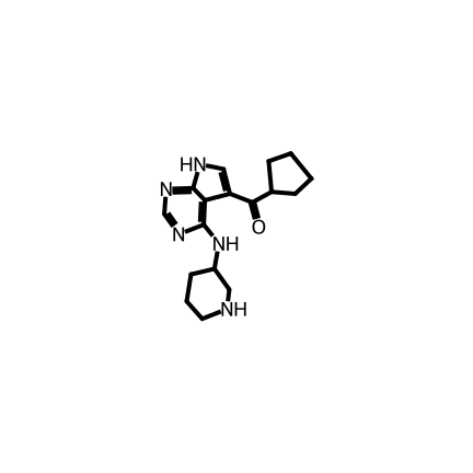 O=C(c1c[nH]c2ncnc(NC3CCCNC3)c12)C1CCCC1